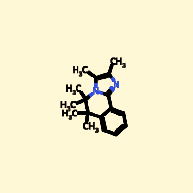 Cc1nc2n(c1C)C(C)(C)C(C)(C)c1ccccc1-2